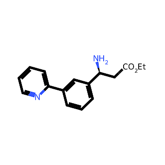 CCOC(=O)C[C@H](N)c1cccc(-c2ccccn2)c1